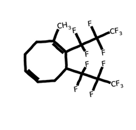 CC1=C(C(F)(F)C(F)(F)C(F)(F)F)C(C(F)(F)C(F)(F)C(F)(F)F)CC=CCC1